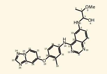 COC(C)C(O)Nc1ccc2ncnc(Nc3ccc(Oc4ccn5ncnc5c4)c(C)c3)c2c1